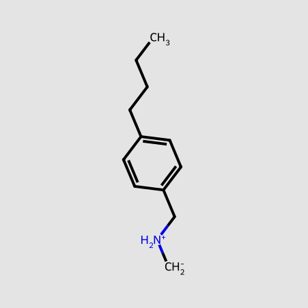 [CH2-][NH2+]Cc1ccc(CCCC)cc1